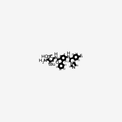 CC(C)(C)C(C[C@H](NC(=O)c1ccc(NC(Cn2ccnc2)c2ccc(F)cc2)cc1-c1ccccc1)C(=O)O)C(N)=O